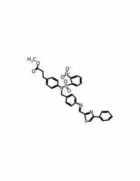 COC(=O)CCc1ccc(N(Cc2ccc(N=Cc3nc(-c4ccccc4)cs3)cc2)S(=O)(=O)c2ccccc2[N+](=O)[O-])cc1